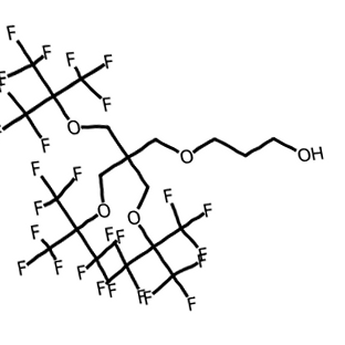 OCCCOCC(COC(C(F)(F)F)(C(F)(F)F)C(F)(F)F)(COC(C(F)(F)F)(C(F)(F)F)C(F)(F)F)COC(C(F)(F)F)(C(F)(F)F)C(F)(F)F